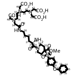 COC(=O)C1(S(=O)(=O)c2ccc(Oc3ccccc3)cc2)CCN(C(=O)[C@@H](N)CCCCNC(=O)CN(CCN(CCN(CC(=O)O)CC(=O)O)CC(=O)O)CC(=O)O)CC1